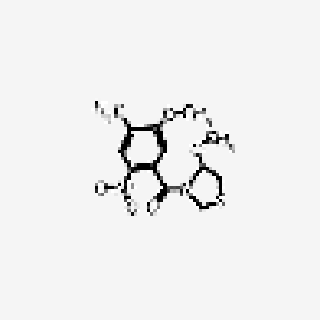 COc1cc(C(=O)N2CSCC2OC)c([N+](=O)[O-])cc1C